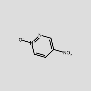 O=[N+]([O-])c1cc[n+]([O-])nc1